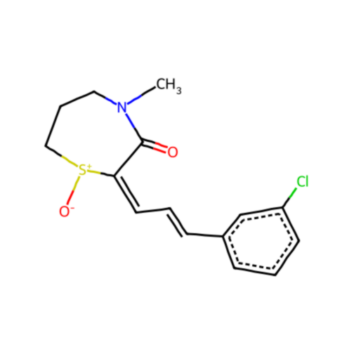 CN1CCC[S+]([O-])/C(=C/C=C/c2cccc(Cl)c2)C1=O